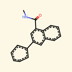 CNC(=O)c1cc(-c2ccccc2)cc2ccccc12